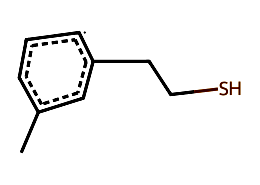 Cc1cc[c]c(CCS)c1